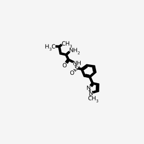 CC(C)CC(N)C(=O)N[S+]([O-])c1cccc(-c2ccn(C)n2)c1